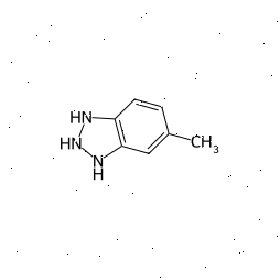 Cc1ccc2c(c1)NNN2